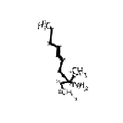 CCCCCCC[C@](C)(N)CC